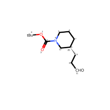 CC(C)(C)OC(=O)N1CCC[C@H](CCC=O)C1